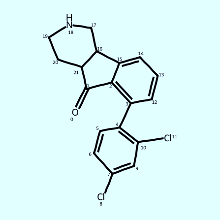 O=C1c2c(-c3ccc(Cl)cc3Cl)cccc2C2CNCCC12